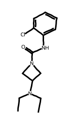 CCN(CC)C1CN(C(=O)Nc2ccccc2Cl)C1